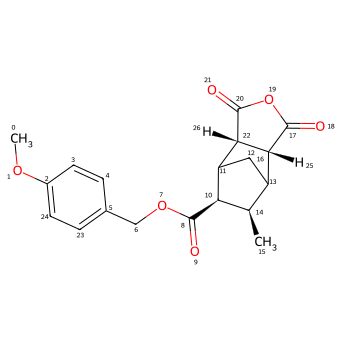 COc1ccc(COC(=O)[C@H]2C3CC([C@H]2C)[C@H]2C(=O)OC(=O)[C@@H]32)cc1